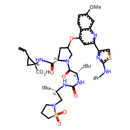 C=CC1C[C@]1(NC(=O)[C@@H]1CC(Oc2cc(-c3csc(NC(C)C)n3)nc3cc(OC)ccc23)CN1C(=O)[C@@H](NC(=O)N[C@H](CN1CCCS1(=O)=O)C(C)(C)C)C(C)(C)C)C(=O)O